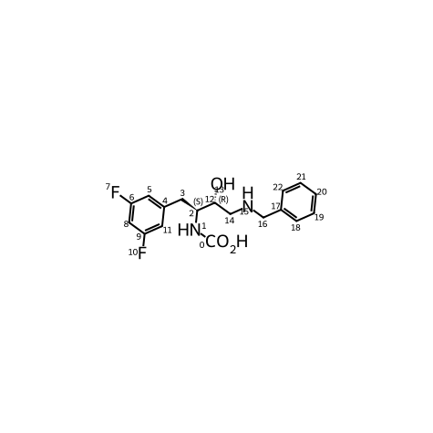 O=C(O)N[C@@H](Cc1cc(F)cc(F)c1)[C@H](O)CNCc1ccccc1